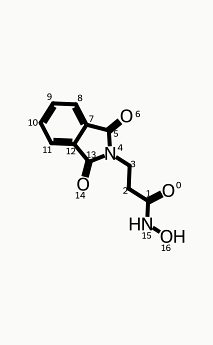 O=C(CCN1C(=O)c2ccccc2C1=O)NO